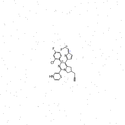 C#CCC1CC2=C(C3=N/C(=C\[C@@H](C)F)C=C3)[C@H](c3ccc(F)cc3Cl)N=C(C3=CNC=CS3)N2C1